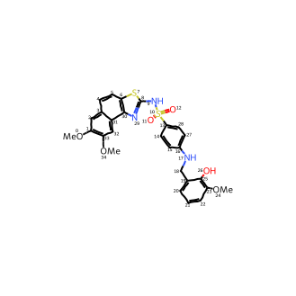 COc1cc2ccc3sc(NS(=O)(=O)c4ccc(NCc5cccc(OC)c5O)cc4)nc3c2cc1OC